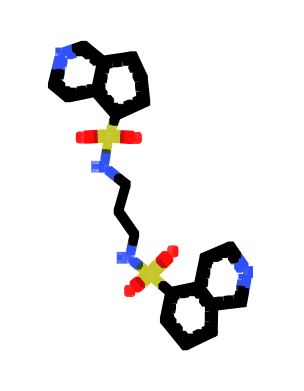 O=S(=O)(NCCCNS(=O)(=O)c1cccc2cnccc12)c1cccc2cnccc12